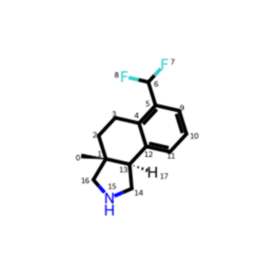 C[C@@]12CCc3c(C(F)F)cccc3[C@H]1CNC2